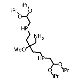 COC(CN)(CCPCC(OC(C)C)OC(C)C)CCPCC(OC(C)C)OC(C)C